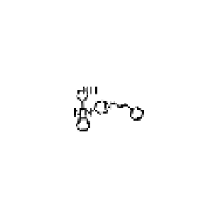 C(=Cc1ccccc1)CN1CCC(n2c(C3CCNC3)nc3ccccc32)CC1